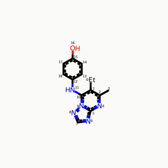 CCc1c(C)nc2ncnn2c1Nc1ccc(O)cc1